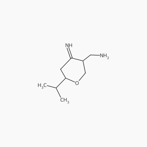 CC(C)C1CC(=N)C(CN)CO1